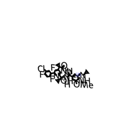 COC1=CC(C(=O)NC[C@](O)(c2cc(C3(C(N)=O)CC3)c(F)c(-c3cc(Cl)c(F)cc3F)n2)C2CC2)=C/C(=C/NC2CC2)C1=N